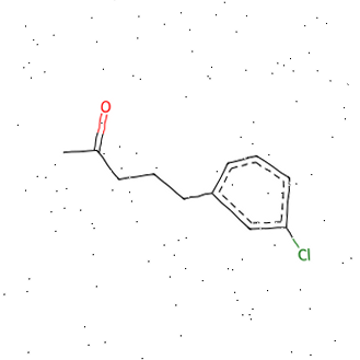 CC(=O)CCCc1cccc(Cl)c1